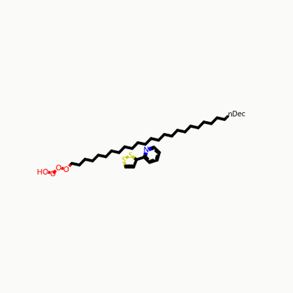 C1=CC(c2ccccn2)SS1.CCCCCCCCCCCCCCCCCCCCCCCCCCCCCCCCCCOOOO